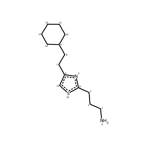 NCCCc1nc(CCC2CCCCC2)cs1